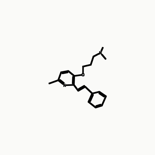 Cc1ccc(OCCCN(C)C)c(/C=C/c2ccccc2)n1